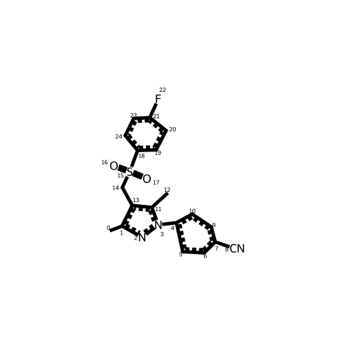 Cc1nn(-c2ccc(C#N)cc2)c(C)c1CS(=O)(=O)c1ccc(F)cc1